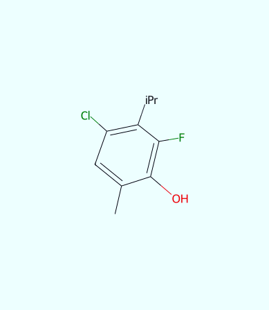 Cc1cc(Cl)c(C(C)C)c(F)c1O